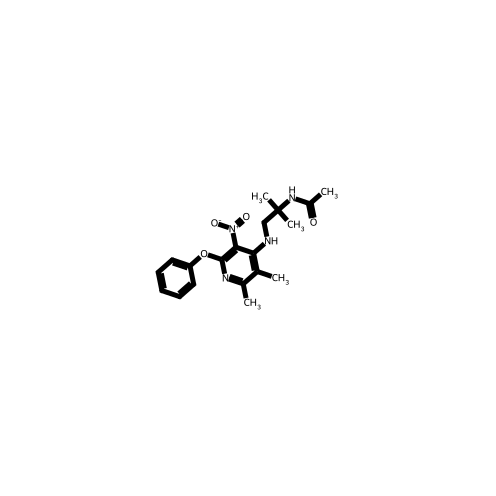 CC(=O)NC(C)(C)CNc1c(C)c(C)nc(Oc2ccccc2)c1[N+](=O)[O-]